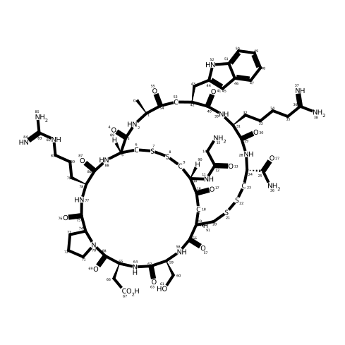 C[C@@H]1NC(=O)[C@@H]2CSSC[C@H](NC(=O)CN)C(=O)C[C@@H](CSSC[C@@H](C(N)=O)NC(=O)[C@H](CCCCC(=N)N)NC(=O)[C@H](Cc3cc4ccccc4[nH]3)CC1=O)C(=O)N[C@@H](CO)C(=O)N[C@@H](CC(=O)O)C(=O)N1CCCC1C(=O)N[C@@H](CCCNC(=N)N)C(=O)N2